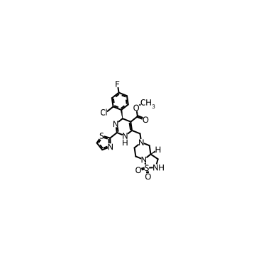 COC(=O)C1=C(CN2CCN3[C@@H](CNS3(=O)=O)C2)NC(c2nccs2)=N[C@H]1c1ccc(F)cc1Cl